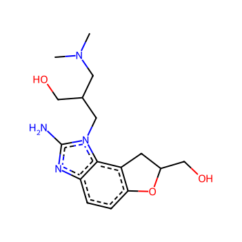 CN(C)CC(CO)Cn1c(N)nc2ccc3c(c21)CC(CO)O3